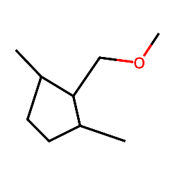 COCC1C(C)CCC1C